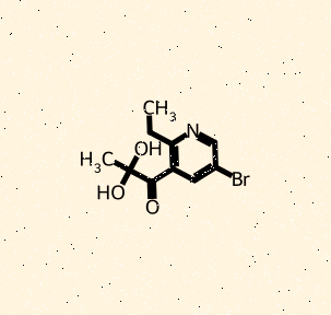 CCc1ncc(Br)cc1C(=O)C(C)(O)O